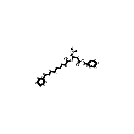 CN(C)C[C@@H](CC(=O)OCc1ccccc1)NC(=O)CCCCCCCCc1ccccc1